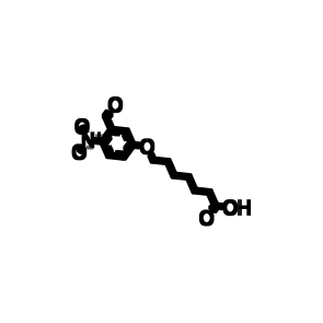 O=Cc1cc(OCCCCCCC(=O)O)ccc1[N+](=O)[O-]